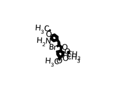 CCOc1ccc(C=C(Br)C(=O)c2ccc(OC)c(OC)c2OC)cc1N